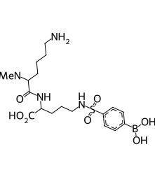 CNC(CCCCN)C(=O)NC(CCCNS(=O)(=O)c1ccc(B(O)O)cc1)C(=O)O